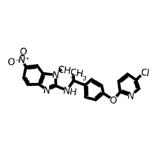 CC(Nc1nc2ccc([N+](=O)[O-])cc2n1C)c1ccc(Oc2ccc(Cl)cn2)cc1